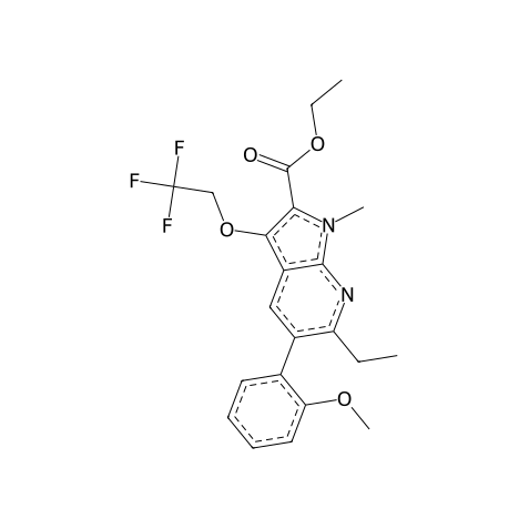 CCOC(=O)c1c(OCC(F)(F)F)c2cc(-c3ccccc3OC)c(CC)nc2n1C